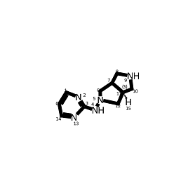 c1cnc(NN2CC3CNC[C@H]3C2)nc1